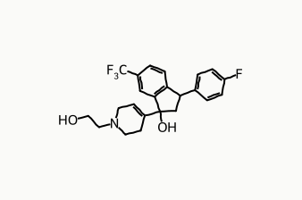 OCCN1CC=C(C2(O)CC(c3ccc(F)cc3)c3ccc(C(F)(F)F)cc32)CC1